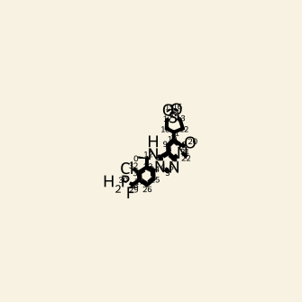 C[C@@H](Nc1ncnc2c1cc(C1CCS(=O)(=O)CC1)c(=O)n2C)c1cccc(C(F)P)c1Cl